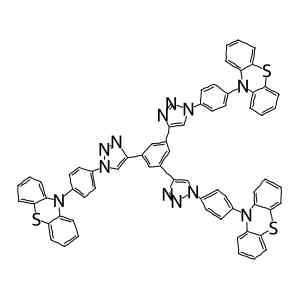 c1ccc2c(c1)Sc1ccccc1N2c1ccc(-n2cc(-c3cc(-c4cn(-c5ccc(N6c7ccccc7Sc7ccccc76)cc5)nn4)cc(-c4cn(-c5ccc(N6c7ccccc7Sc7ccccc76)cc5)nn4)c3)nn2)cc1